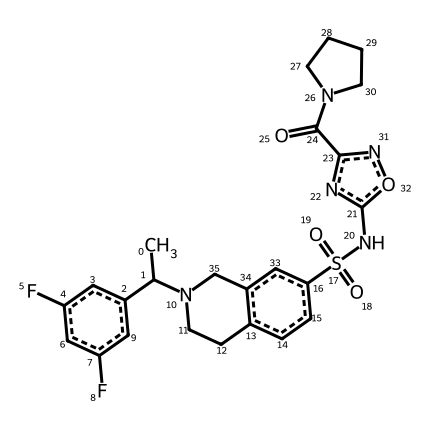 CC(c1cc(F)cc(F)c1)N1CCc2ccc(S(=O)(=O)Nc3nc(C(=O)N4CCCC4)no3)cc2C1